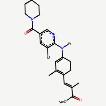 CCc1cc(C(=O)N2CCCCC2)cnc1N(CC)C1=CC(C)=C(/C=C(\C)C(=O)OC)CC1